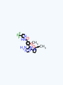 CC#CC(=O)N1C2CCC1(c1nc(-c3ccc(C(=O)Nc4cc(C(F)(F)F)ccn4)cc3OC)c3c(N)nccn13)CC2